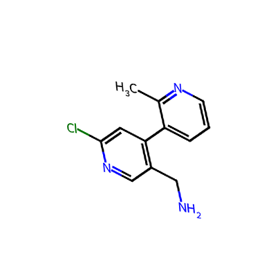 Cc1ncccc1-c1cc(Cl)ncc1CN